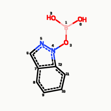 OB(O)On1ncc2ccccc21